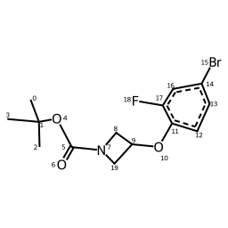 CC(C)(C)OC(=O)N1CC(Oc2ccc(Br)cc2F)C1